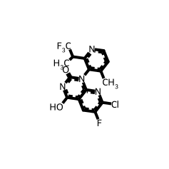 Cc1ccnc(C(C)C(F)(F)F)c1-n1c(=O)nc(O)c2cc(F)c(Cl)nc21